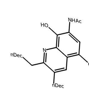 CCCCCCCCCCCc1nc2c(O)c(NC(C)=O)cc(Cl)c2cc1CCCCCCCCCC